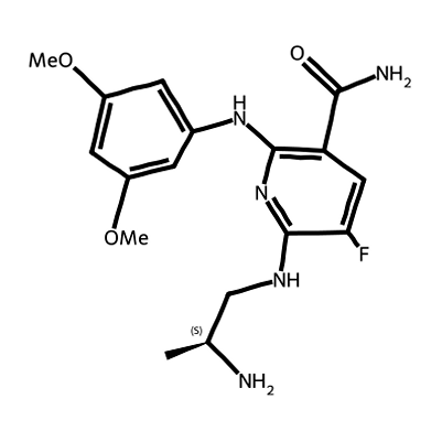 COc1cc(Nc2nc(NC[C@H](C)N)c(F)cc2C(N)=O)cc(OC)c1